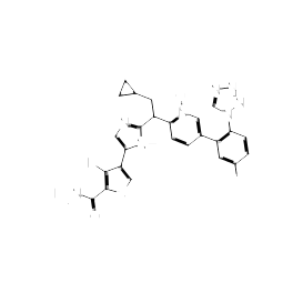 NC(=O)c1scc(-c2cnc(C(CC3CC3)c3ccc(-c4cc(Cl)ccc4-n4cnnn4)c[n+]3[O-])[nH]2)c1F